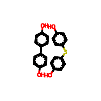 Oc1ccc(-c2ccc(O)cc2)cc1.Oc1ccc(Sc2ccc(O)cc2)cc1